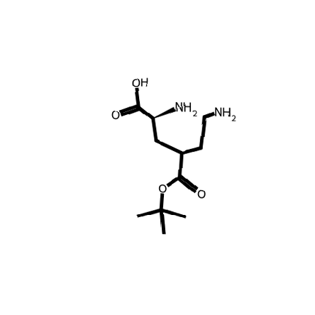 CC(C)(C)OC(=O)C(CCN)C[C@H](N)C(=O)O